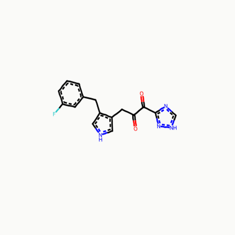 O=C(Cc1c[nH]cc1Cc1cccc(F)c1)C(=O)c1nc[nH]n1